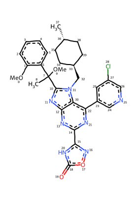 COc1ccccc1C(C)(OC)c1nc2nc(-c3noc(=O)[nH]3)nc(-c3cncc(Cl)c3)c2n1C[C@H]1CC[C@H](C)CC1